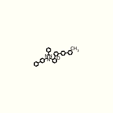 Cc1cccc(-c2ccc(-c3cccc4c3oc3cccc(-c5nc(-c6ccccc6)nc(-c6ccc(-c7ccccc7)cc6)n5)c34)cc2)c1